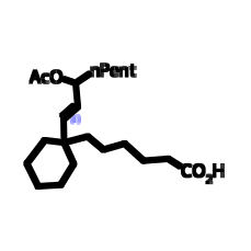 CCCCCC(/C=C/C1(CCCCCC(=O)O)CCCCC1)OC(C)=O